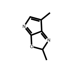 CC1=CN=C2OC(C)N=C12